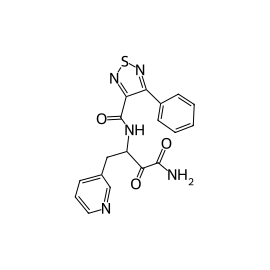 NC(=O)C(=O)C(Cc1cccnc1)NC(=O)c1nsnc1-c1ccccc1